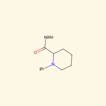 CNC(=O)C1CCCCN1C(C)C